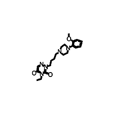 CCn1c(=O)cnn(CCCCN2CCN(c3ccccc3OC)CC2)c1=O